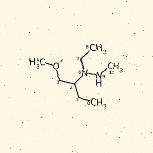 CCC(COC)N(CC)NC